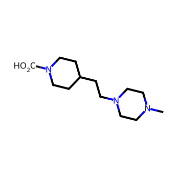 CN1CCN(CCC2CCN(C(=O)O)CC2)CC1